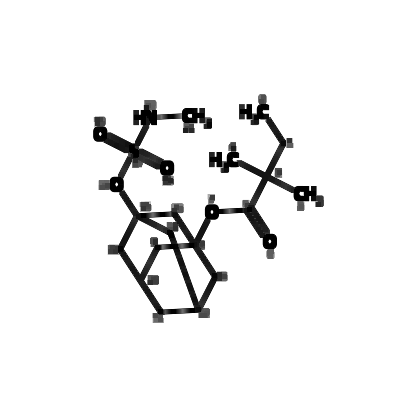 CCC(C)(C)C(=O)OC12CC3CC(C1)CC(OS(=O)(=O)NC)(C3)C2